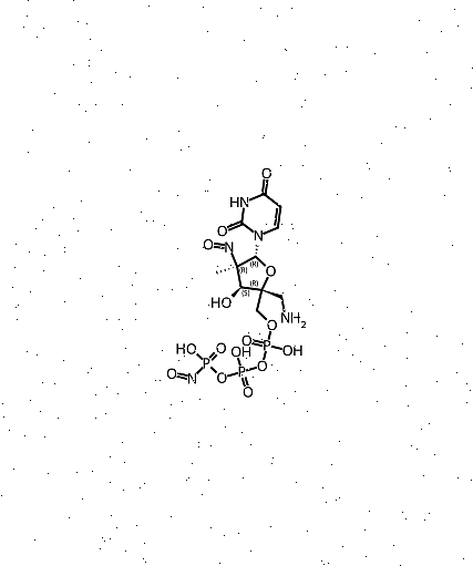 C[C@@]1(N=O)[C@H](O)[C@@](CN)(COP(=O)(O)OP(=O)(O)OP(=O)(O)N=O)O[C@H]1n1ccc(=O)[nH]c1=O